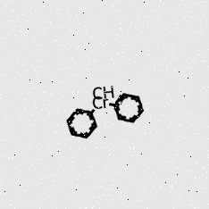 C.c1cc[c]([Cr][c]2ccccc2)cc1